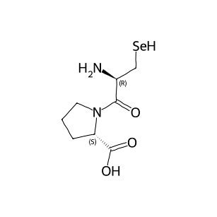 N[C@@H](C[SeH])C(=O)N1CCC[C@H]1C(=O)O